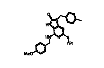 CCCSc1nc(NCc2ccc(OC)cc2)c2[nH]c(=O)n(Cc3ccc(C)cc3)c2n1